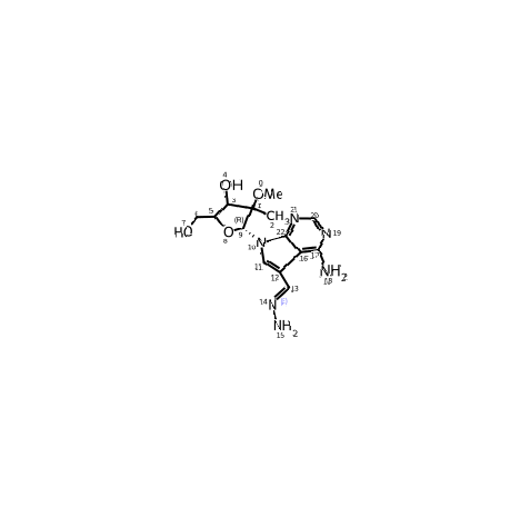 COC1(C)C(O)C(CO)O[C@H]1n1cc(/C=N/N)c2c(N)ncnc21